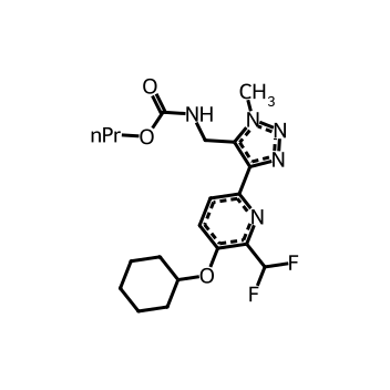 CCCOC(=O)NCc1c(-c2ccc(OC3CCCCC3)c(C(F)F)n2)nnn1C